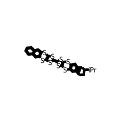 CC(C)C1CC2C=CC1c1cc3c(cc12)SC1=C(SC(=C2SC4=C(S2)Sc2cc5ccccc5cc2S4)S1)S3